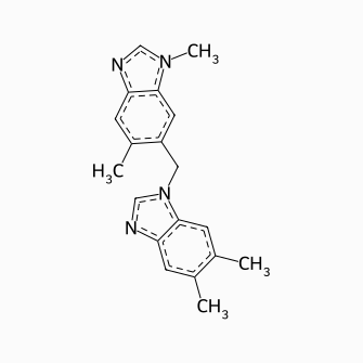 Cc1cc2ncn(Cc3cc4c(cc3C)ncn4C)c2cc1C